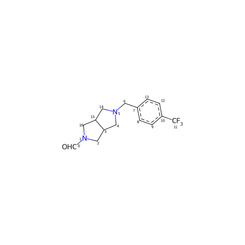 O=CN1CC2CN(Cc3ccc(C(F)(F)F)cc3)CC2C1